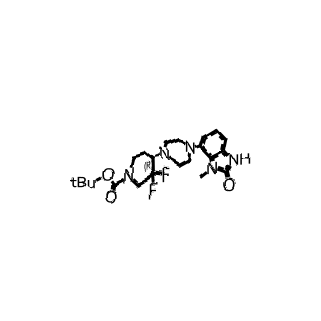 Cn1c(=O)[nH]c2cccc(N3CCN([C@@H]4CCN(C(=O)OC(C)(C)C)CC4(F)F)CC3)c21